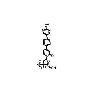 COc1ncc(-c2ccc(-c3ccn(CC[C@](C)(C(=O)NO)S(C)(=O)=O)c(=O)c3)cc2)cn1